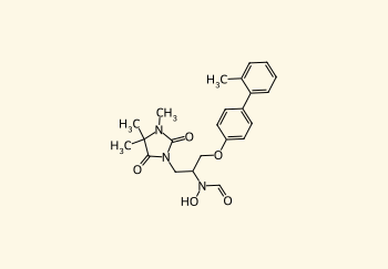 Cc1ccccc1-c1ccc(OCC(CN2C(=O)N(C)C(C)(C)C2=O)N(O)C=O)cc1